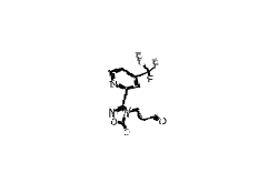 O=CCCn1c(-c2cc(C(F)(F)F)ccn2)noc1=O